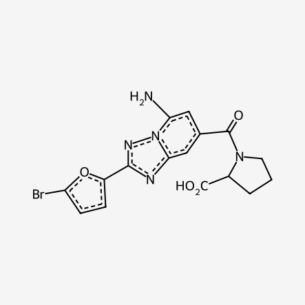 Nc1cc(C(=O)N2CCCC2C(=O)O)cc2nc(-c3ccc(Br)o3)nn12